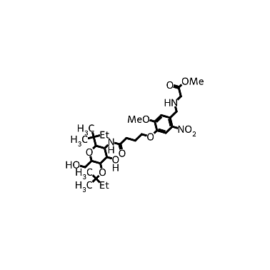 CCC(C)(C)OC1C(CO)OC(C(C)(C)CC)C(NC(=O)CCCOc2cc([N+](=O)[O-])c(CNCC(=O)OC)cc2OC)C1O